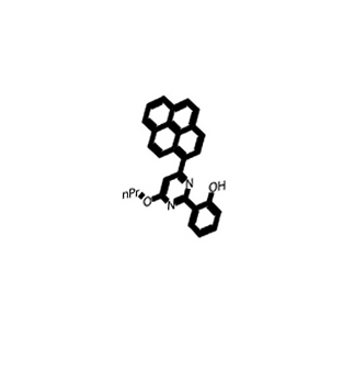 CCCOc1cc(-c2ccc3ccc4cccc5ccc2c3c45)nc(-c2ccccc2O)n1